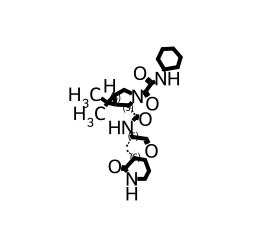 CC1(C)C2[C@@H](C(=O)N[C@H](C=O)C[C@@H]3CCCNC3=O)N(C(=O)C(=O)NC3CCCCC3)C[C@@H]21